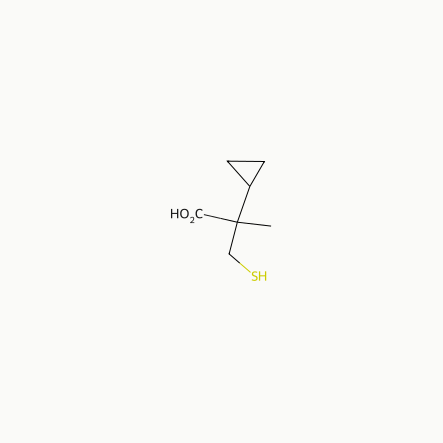 CC(CS)(C(=O)O)C1CC1